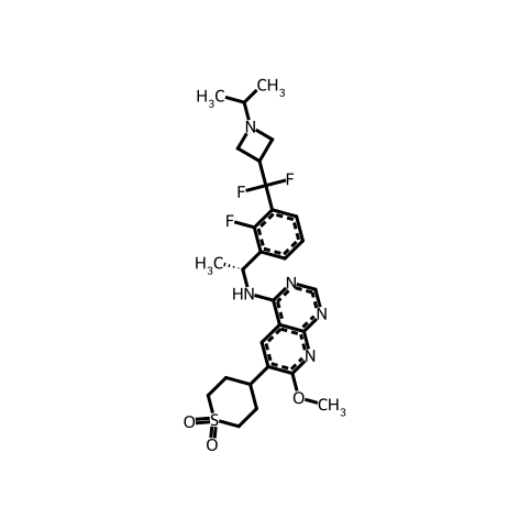 COc1nc2ncnc(N[C@H](C)c3cccc(C(F)(F)C4CN(C(C)C)C4)c3F)c2cc1C1CCS(=O)(=O)CC1